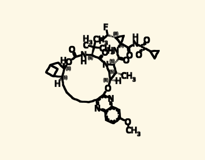 COc1ccc2nc3c(nc2c1)O[C@H]1CN(C(=O)[C@H](C(C)(C)C)NC(=O)O[C@H]2CC4CC(C4)[C@@H]2CCCCC3)[C@H](C(=O)N[C@]2(C(=O)NS(=O)(=O)C3CC3)C[C@H]2C(F)F)[C@@H]1C